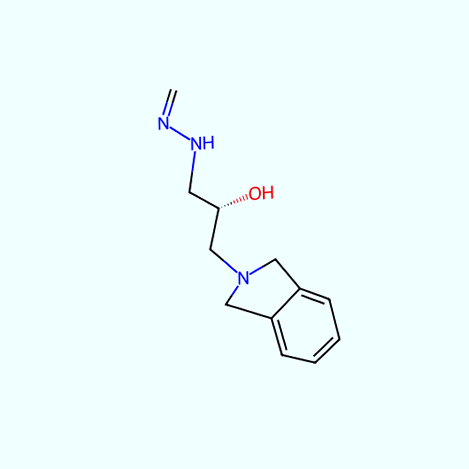 C=NNC[C@H](O)CN1Cc2ccccc2C1